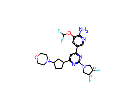 Nc1ncc(-c2cc(C3CCC(N4CCOCC4)C3)nc(N3C[C@@H](F)[C@@H](F)C3)n2)cc1OC(F)F